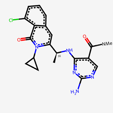 CNC(=O)c1cnc(N)nc1N[C@@H](C)c1cc2cccc(Cl)c2c(=O)n1C1CC1